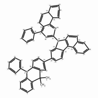 CC1(C)c2ccccc2N(c2ccccc2)c2ccc(-c3ccc4c5c6ccccc6ccc5n(-c5nc(-c6ccccc6)c6c(n5)C5C=CC=CC5C=C6)c4c3)cc21